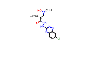 CCCCC[C@H](CN(O)C=O)C(=O)NNc1nnc2cc(Cl)ccc2n1